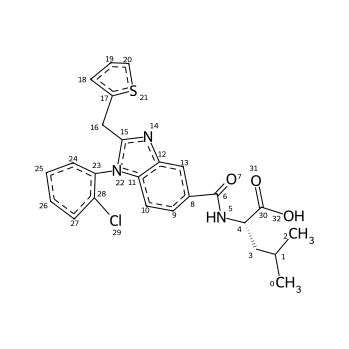 CC(C)C[C@H](NC(=O)c1ccc2c(c1)nc(Cc1cccs1)n2-c1ccccc1Cl)C(=O)O